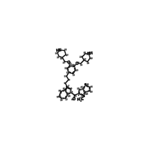 Cn1c(C(=O)c2cn(CCCc3ccc(OCC4CCNCC4)c(OCC4CCNCC4)c3)c3ccccc23)cc2sccc21